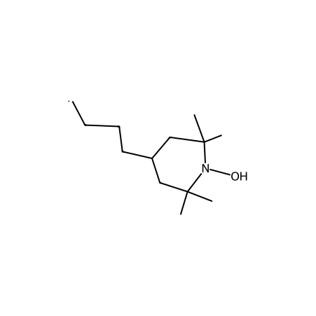 [CH2]CCCC1CC(C)(C)N(O)C(C)(C)C1